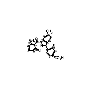 Cc1cnc2c(-c3ccc(C(=O)O)cc3F)nn(C(=O)c3c(C)cccc3Cl)c2c1